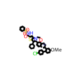 C=C(/C=C\c1c(C)ccc2c1OCCn1c-2c(C2CCCCC2)c2sc(C(=O)NS(=O)(=O)c3ccccc3)cc21)c1cc(OC)ccc1-c1ccc(Cl)cc1